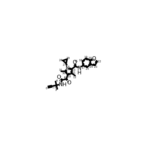 C#CC(C)(C)NC(=O)C(=O)c1c(C)c(C(=O)Nc2ccc3occc3c2)n(C2CC2)c1C